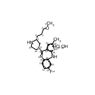 COCCC[C@H]1CN(C2=Nc3ccc(F)cc3Nc3sc(C)cc32)CCN1.Cl.Cl